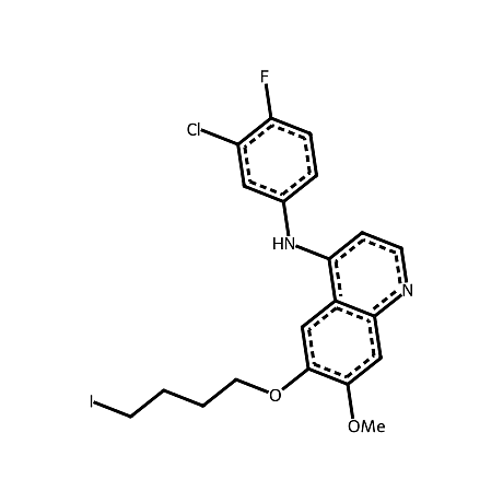 COc1cc2nccc(Nc3ccc(F)c(Cl)c3)c2cc1OCCCCI